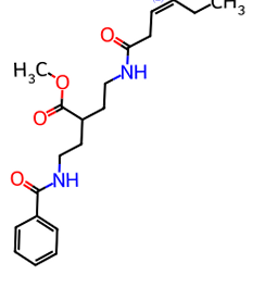 CC/C=C\CC(=O)NCCC(CCNC(=O)c1ccccc1)C(=O)OC